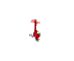 C[C@]12CCCN1N(Cc1c(F)cc(CCCCCCCOCC(O)C(O)CO)cc1F)C(=O)C(C(=O)Nc1ccc(C(F)(F)F)cc1-c1ccc(C(F)(F)F)nc1)=C2O